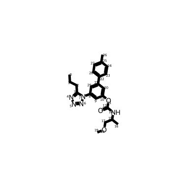 CCCc1nnnn1-c1cc(OC(=O)NC(C)COC)cc(-c2ccc(C)cc2)c1